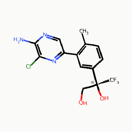 Cc1ccc([C@](O)(CO)C(F)(F)F)cc1-c1cnc(N)c(Cl)n1